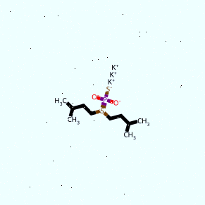 CC(C)CCS(CCC(C)C)=P([O-])([O-])[S-].[K+].[K+].[K+]